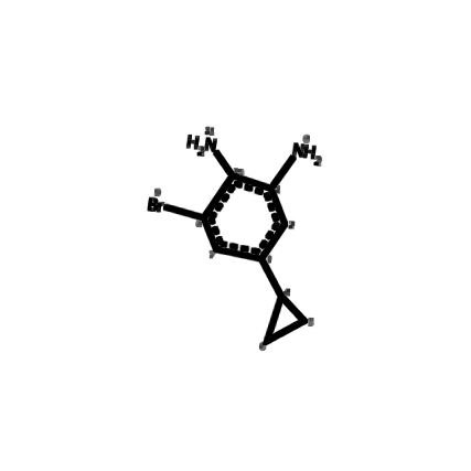 Nc1cc(C2CC2)cc(Br)c1N